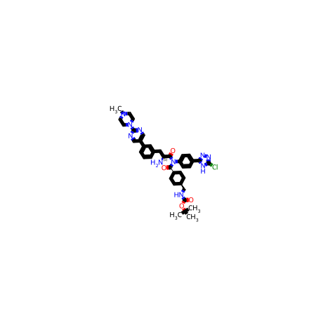 CN1CCN(c2ncc(-c3cccc(C[C@H](N)C(=O)N(c4ccc(-c5nnc(Cl)[nH]5)cc4)C(=O)[C@H]4CC[C@H](CNC(=O)OC(C)(C)C)CC4)c3)cn2)CC1